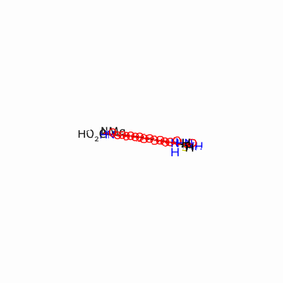 CNC(CCCCNC(=O)CCOCCOCCOCCOCCOCCOCCOCCOCCOCCOCCOCCOCCNC(=O)CCCC[C@@H]1SC[C@@H]2NC(=O)N[C@@H]21)C(=O)O